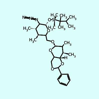 CC1[C@H](OCC2O[C@@H](O[Si](C)(C)C(C)(C)C(C)C)C(N=[N+]=[N-])[C@@H](C)[C@@H]2C)OC2COC(c3ccccc3)O[C@H]2[C@@H]1C